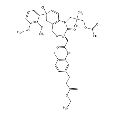 CCOC(=O)CCc1ccc(F)c(NC(=O)C[C@H]2OCC3=C(C=CC(Cl)(c4cccc(OC)c4OC)C3)N(CC(C)(C)COC(C)=O)C2=O)c1